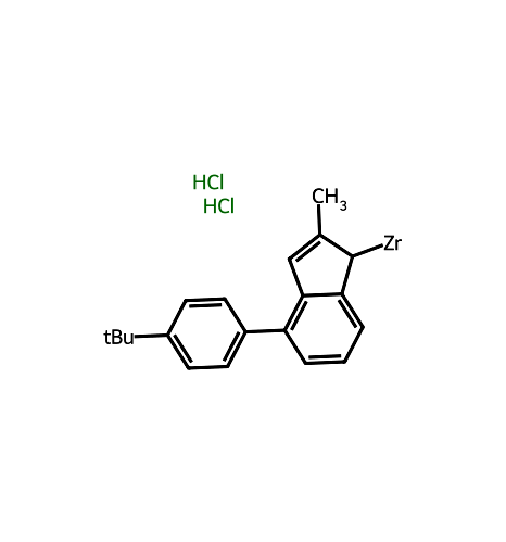 CC1=Cc2c(-c3ccc(C(C)(C)C)cc3)cccc2[CH]1[Zr].Cl.Cl